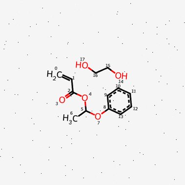 C=CC(=O)OC(C)Oc1ccccc1.OCCO